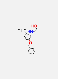 C[C@H](O)CNc1cc(OCc2ccccc2)ccc1C=O